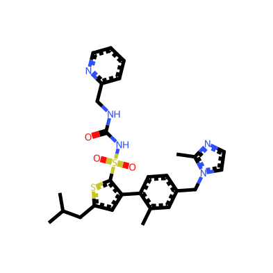 Cc1cc(Cn2ccnc2C)ccc1-c1cc(CC(C)C)sc1S(=O)(=O)NC(=O)NCc1ccccn1